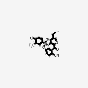 N#Cc1ccccc1C(=O)c1ncc(CI)cc1NS(=O)(=O)c1ccc(Cl)c(C(F)(F)F)c1